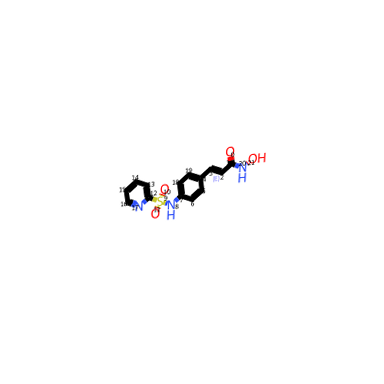 O=C(/C=C/c1ccc(NS(=O)(=O)c2ccccn2)cc1)NO